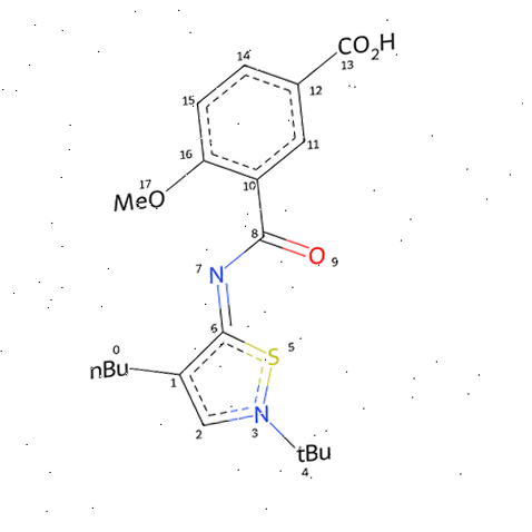 CCCCc1cn(C(C)(C)C)sc1=NC(=O)c1cc(C(=O)O)ccc1OC